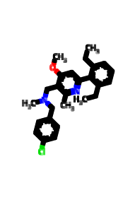 CCc1cccc(CC)c1-c1cc(OC)c(CN(C)Cc2ccc(Cl)cc2)c(C)n1